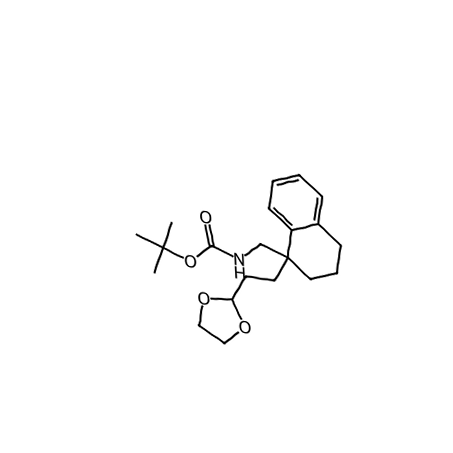 CC(C)(C)OC(=O)NCC1(CCC2OCCO2)CCCc2ccccc21